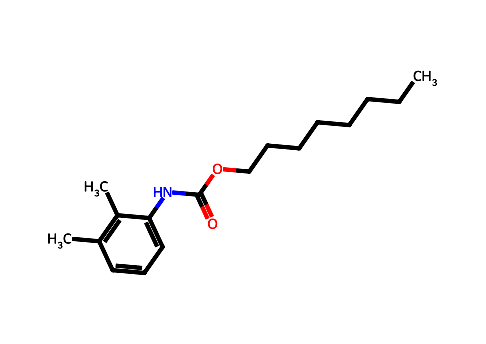 CCCCCCCCOC(=O)Nc1cccc(C)c1C